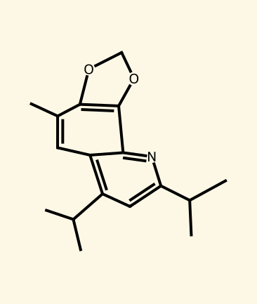 Cc1cc2c(C(C)C)cc(C(C)C)nc2c2c1OCO2